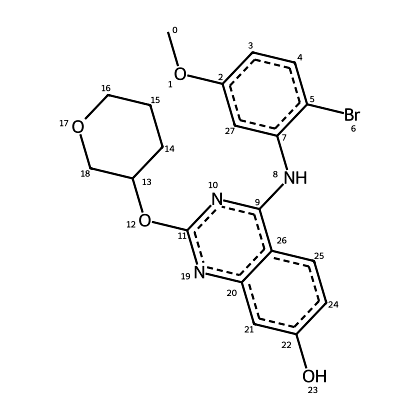 COc1ccc(Br)c(Nc2nc(OC3CCCOC3)nc3cc(O)ccc23)c1